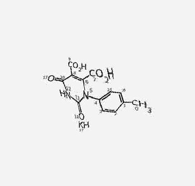 Cc1ccc(-n2c(C(=O)O)c(C(=O)O)c(=O)[nH]c2=O)cc1.[KH]